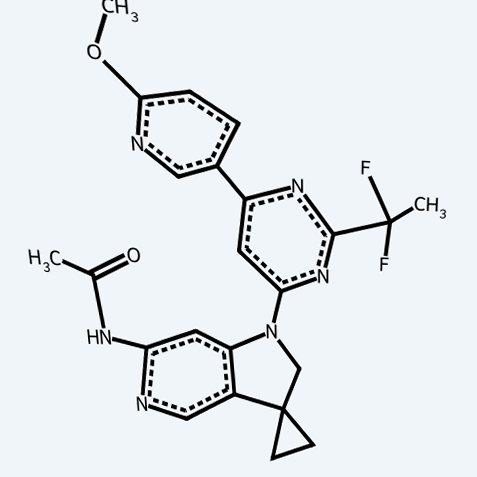 COc1ccc(-c2cc(N3CC4(CC4)c4cnc(NC(C)=O)cc43)nc(C(C)(F)F)n2)cn1